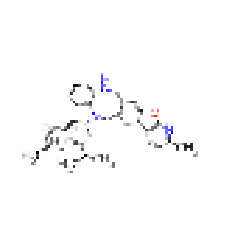 C=C/C=C\C=C\C(CC(=C)C(C)C)N1CC2=C(C=C3Oc4nc(C)ccc4C3C2)CNc2ccccc21